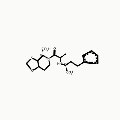 CC(N[C@@H](CCc1ccccc1)C(=O)O)C(=O)N1CCC2SCSC2[C@@H]1C(=O)O